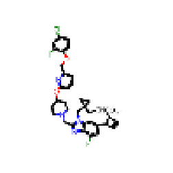 N#CCC1(Cn2c(CN3CCC(Oc4cccc(COc5ccc(Cl)cc5F)n4)CC3)nc3c(F)cc(C4C#CC4C(=O)O)cc32)CC1